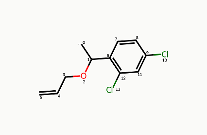 [CH2]C(OCC=C)c1ccc(Cl)cc1Cl